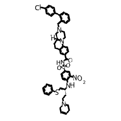 O=C(NS(=O)(=O)c1ccc(N[C@H](CCN2CC=CCC2)CSc2ccccc2)c([N+](=O)[O-])c1)c1ccc2c(c1)CC[C@@H]1CN(Cc3ccccc3-c3ccc(Cl)cc3)CCN21